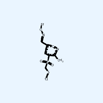 CCO/N=C/c1cnc(C)c(S(=O)(=O)CSCl)c1